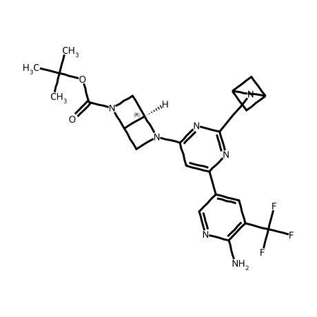 CC(C)(C)OC(=O)N1C[C@@H]2C1CN2c1cc(-c2cnc(N)c(C(F)(F)F)c2)nc(N2CC3CC2C3)n1